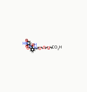 O=C(O)CCOCCOCCOCCNc1cccc2c1C(=O)N([C@H]1CCC(=O)NC1=O)C2=O